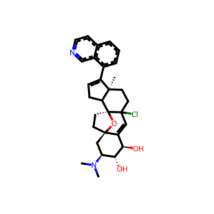 CN(C)[C@H]1C[C@@]23CC[C@]4(O2)C2CC=C(c5cccc6ccncc56)[C@@]2(C)CCC4(Cl)C=C3[C@@H](O)[C@@H]1O